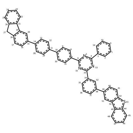 c1ccc(-c2nc(-c3ccc(-c4ccc(-c5ccc6c(c5)-c5ccccc5C6)cc4)cc3)nc(-c3cccc(-c4ccc5sc6ccccc6c5c4)c3)n2)cc1